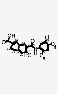 COc1cc(OC)c(NC(=O)c2cc3cc(C(=O)O)ccc3cc2O)cc1Cl